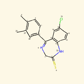 Cc1ccc(C2=NCC(=S)Nc3ccc(Cl)cc32)cc1C